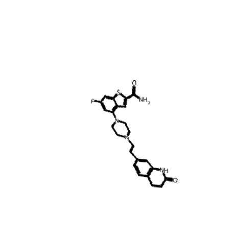 NC(=O)c1cc2c(N3CCN(CCc4ccc5c(c4)NC(=O)CC5)CC3)cc(F)cc2s1